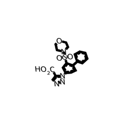 O=C(O)c1cnnn1-c1ccc(-c2ccccc2)c(S(=O)(=O)N2CCOCC2)c1